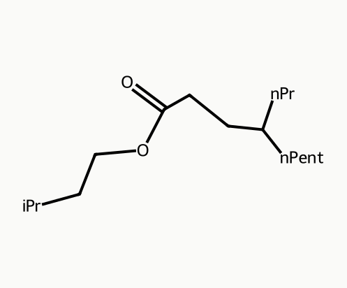 CCCCCC(CCC)CCC(=O)OCCC(C)C